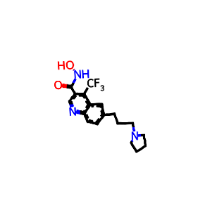 O=C(NO)c1cnc2ccc(CCCN3CCCC3)cc2c1C(F)(F)F